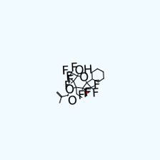 C=C(C)C(=O)OC1(CC)C(F)(F)C(O)(C(F)(F)F)OC(C2CCCCC2)(C(F)(F)F)C1(F)F